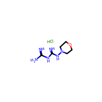 Cl.N=C(N)NC(=N)NN1CCOCC1